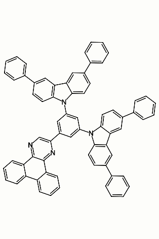 c1ccc(-c2ccc3c(c2)c2cc(-c4ccccc4)ccc2n3-c2cc(-c3cnc4c5ccccc5c5ccccc5c4n3)cc(-n3c4ccc(-c5ccccc5)cc4c4cc(-c5ccccc5)ccc43)c2)cc1